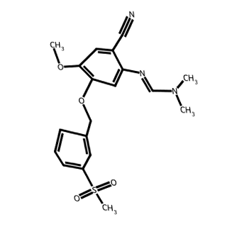 COc1cc(C#N)c(N=CN(C)C)cc1OCc1cccc(S(C)(=O)=O)c1